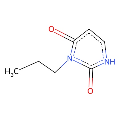 CCCn1c(=O)cc[nH]c1=O